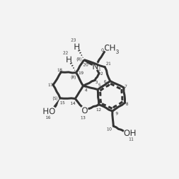 CN1CCC23c4c5ccc(CO)c4OC2[C@@H](O)CC[C@H]3[C@H]1C5